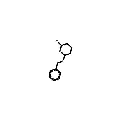 [O]C1CCCC(OCc2ccccc2)O1